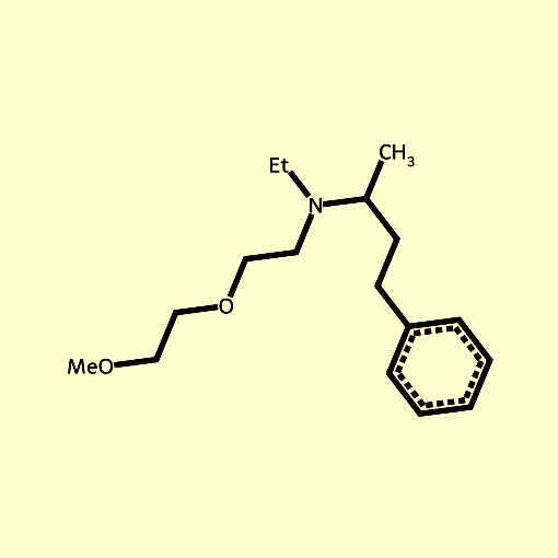 CCN(CCOCCOC)C(C)CCc1ccccc1